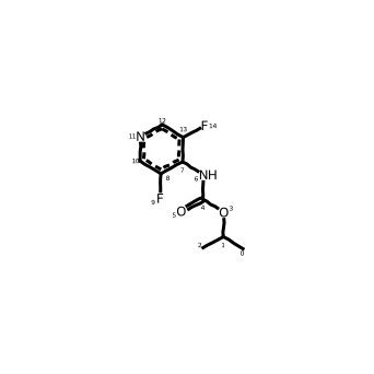 CC(C)OC(=O)Nc1c(F)cncc1F